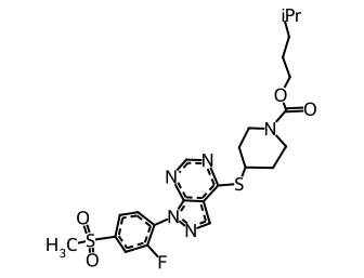 CC(C)CCCOC(=O)N1CCC(Sc2ncnc3c2cnn3-c2ccc(S(C)(=O)=O)cc2F)CC1